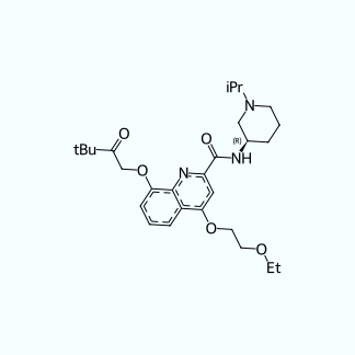 CCOCCOc1cc(C(=O)N[C@@H]2CCCN(C(C)C)C2)nc2c(OCC(=O)C(C)(C)C)cccc12